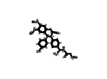 COCC(=O)N[C@@H](C)c1ccc(N2C(=O)Cc3cc(OC)c(OC(C)C)cc3[C@@H]2c2ccc(Cl)cc2)cc1